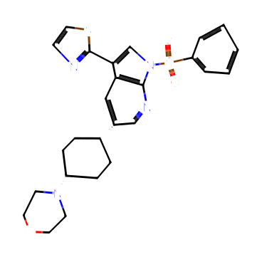 O=S(=O)(c1ccccc1)n1cc(-c2nccs2)c2cc([C@H]3CC[C@@H](N4CCOCC4)CC3)cnc21